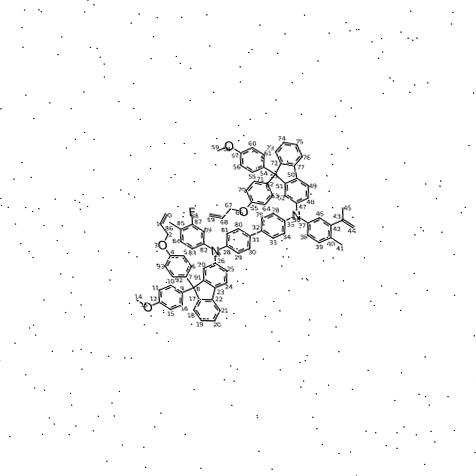 C=CCOc1ccc(C2(c3ccc(OC)cc3)c3ccccc3-c3ccc(N(c4ccc(-c5ccc(N(c6ccc(C)c(C(=C)C)c6)c6ccc7c(c6)C(c6ccc(OC)cc6)(c6ccc(OCC=C)cc6)c6ccccc6-7)cc5)cc4)c4ccc(C)c(F)c4)cc32)cc1